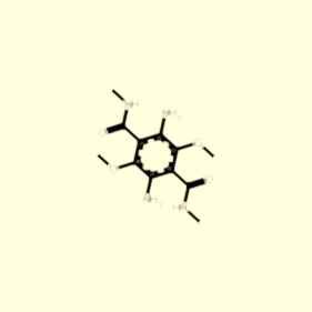 CNC(=O)c1c(N)c(OC)c(C(=O)NC)c(N)c1OC